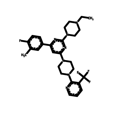 CCN1CCN(c2nc(-c3ccc(F)c(C)c3)cc(N3CCN(c4ncccc4C(F)(F)F)CC3)n2)CC1